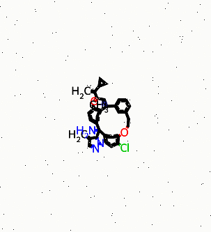 C=C1C=NN=C1C1(N)c2ccc(Cl)c(c2)OCCc2cccc(c2)/C(=C/C(=O)C(=C)C2CC2)c2cc1ccc2C